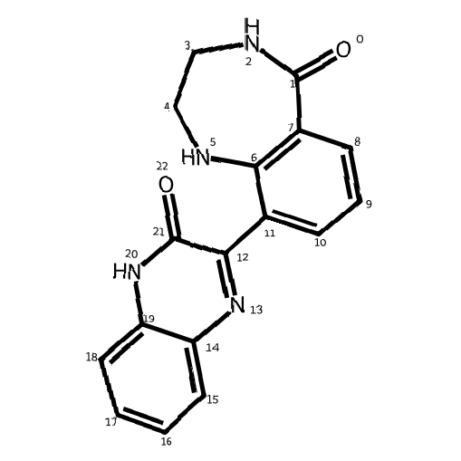 O=C1NCCNc2c1cccc2-c1nc2ccccc2[nH]c1=O